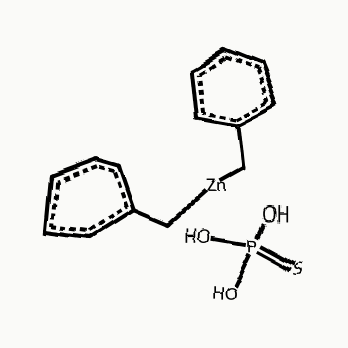 OP(O)(O)=S.c1ccc([CH2][Zn][CH2]c2ccccc2)cc1